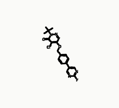 CC(C)(C)n1ncc(OCc2ccc(-c3cnc(F)nc3)cc2)c(Cl)c1=O